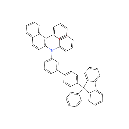 c1ccc(-c2c(N(c3ccccc3)c3cccc(-c4ccc(C5(c6ccccc6)c6ccccc6-c6ccccc65)cc4)c3)ccc3ccccc23)cc1